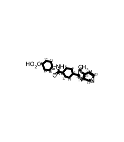 Cn1c(C2CCC(C(=O)N[C@H]3CC[C@H](C(=O)O)CC3)CC2)nc2cnccc21